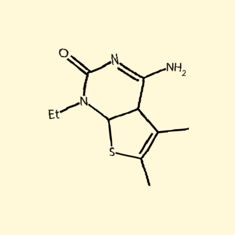 CCN1C(=O)N=C(N)C2C(C)=C(C)SC21